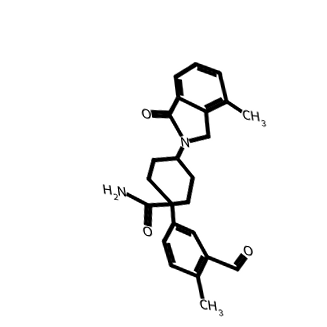 Cc1ccc(C2(C(N)=O)CCC(N3Cc4c(C)cccc4C3=O)CC2)cc1C=O